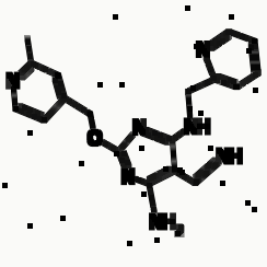 Cc1cc(COc2nc(N)c(C=N)c(NCc3ccccn3)n2)ccn1